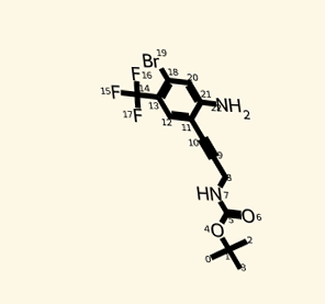 CC(C)(C)OC(=O)NCC#Cc1cc(C(F)(F)F)c(Br)cc1N